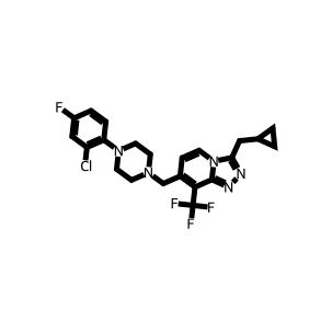 Fc1ccc(N2CCN(Cc3ccn4c(CC5CC5)nnc4c3C(F)(F)F)CC2)c(Cl)c1